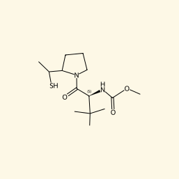 COC(=O)N[C@H](C(=O)N1CCCC1C(C)S)C(C)(C)C